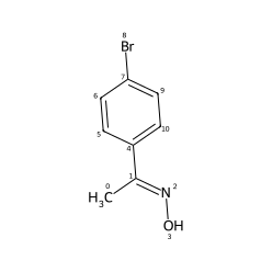 CC(=NO)c1ccc(Br)cc1